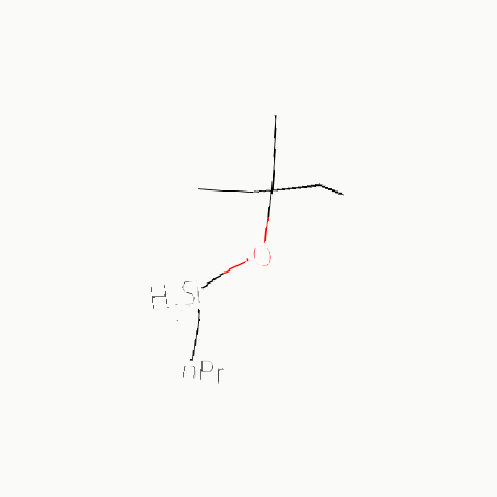 CCC[SiH2]OC(C)(C)C